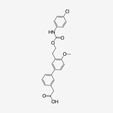 COc1ccc(-c2cccc(CC(=O)O)c2)cc1CCOC(=O)Nc1ccc(Cl)cc1